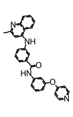 Cc1cc(Nc2cccc(C(=O)Nc3cccc(Oc4ccncc4)c3)c2)c2ccccc2n1